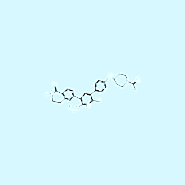 CC(=O)N1CCC(Oc2ccc(-c3cc(-c4ccc5c(c4)CCNC5=O)c(N)nc3F)cc2)CC1